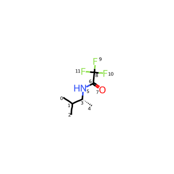 CC(C)[C@@H](C)NC(=O)C(F)(F)F